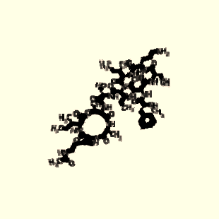 CC[C@H](C)[C@H](NC(=O)[C@@H](Cc1ccccc1)NC)C(=O)N[C@@H](CO)C(=O)N[C@H](CCCN)C(=O)N[C@@H](C(=O)N[C@H](C(=O)N[C@@H](CO)C(=O)N[C@H]1C(=O)N[C@@H](C)C(=O)NC2(CC2CCNC(C)=O)C(=O)N[C@@H]([C@@H](C)CC)C(=O)O[C@H]1C)[C@@H](C)CC)[C@@H](C)CC